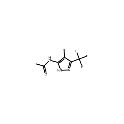 CC(=O)Nc1[nH]nc(C(F)(F)F)c1C